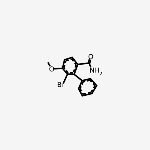 COc1ccc(C(N)=O)c(-c2ccccc2)c1Br